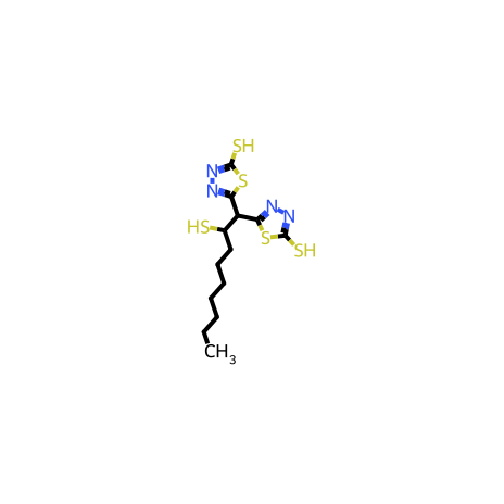 CCCCCCCC(S)C(c1nnc(S)s1)c1nnc(S)s1